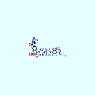 N/C(=N/O)c1ccc(N2CCN(C3CCN(C(C(=O)O)c4ccc(C(=O)N5CCCC5)cc4)CC3)CC2)cc1